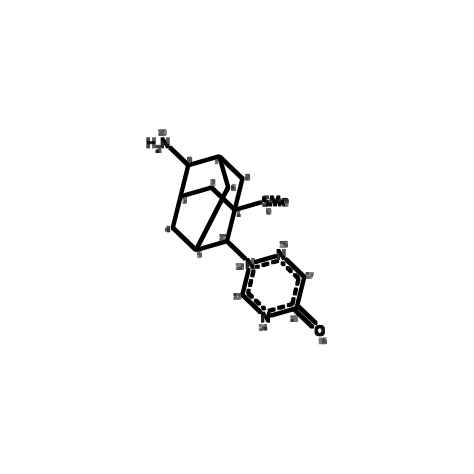 CSC12CC3CC(CC(C1)C3N)C2n1cnc(=O)cn1